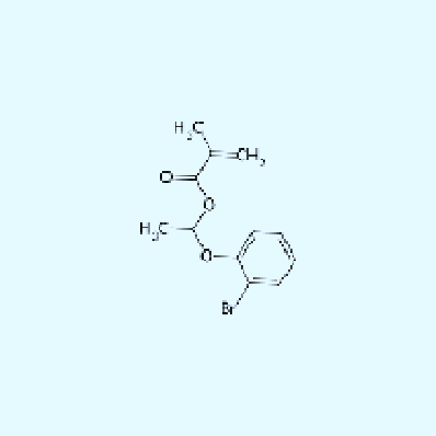 C=C(C)C(=O)OC(C)Oc1ccccc1Br